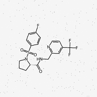 O=C(NCc1cc(C(F)(F)F)ccn1)[C@@H]1CCCN1S(=O)(=O)c1ccc(F)cc1